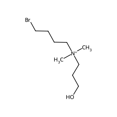 C[N+](C)(CCCO)CCCCBr